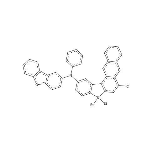 CC[Si]1(CC)c2ccc(N(c3ccccc3)c3ccc4oc5ccccc5c4c3)cc2-c2c1cc(Cl)c1cc3ccccc3cc21